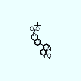 COc1nccc2c(-c3ccc4c(c3)CN(C(=O)OC(C)(C)C)CC4)ccnc12